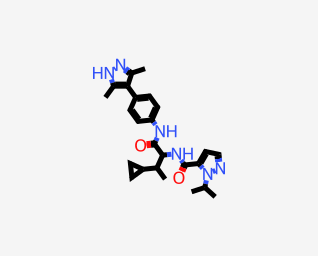 Cc1n[nH]c(C)c1-c1ccc(NC(=O)C(NC(=O)c2ccnn2C(C)C)C(C)C2CC2)cc1